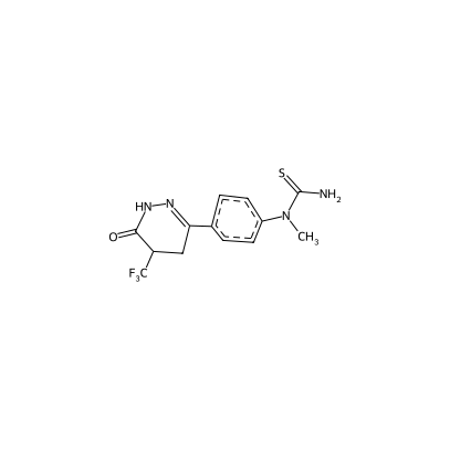 CN(C(N)=S)c1ccc(C2=NNC(=O)C(C(F)(F)F)C2)cc1